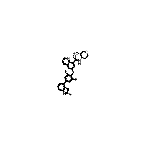 Cn1cc2c(-c3cc(F)c(Cc4cc(C(=O)N[C@H]5CCOC[C@@H]5O)c5ncccc5c4)c(F)c3)cccc2n1